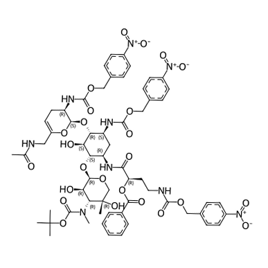 CC(=O)NCC1=CC[C@@H](NC(=O)OCc2ccc([N+](=O)[O-])cc2)[C@@H](O[C@H]2[C@H](O)[C@@H](O[C@H]3OC[C@](C)(O)[C@H](N(C)C(=O)OC(C)(C)C)[C@H]3O)[C@H](NC(=O)[C@@H](CCNC(=O)OCc3ccc([N+](=O)[O-])cc3)OC(=O)c3ccccc3)C[C@@H]2NC(=O)OCc2ccc([N+](=O)[O-])cc2)O1